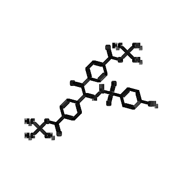 Cc1ccc(S(=O)(=O)NN=C(C(=O)c2ccc(C(=O)OC(C)(C)C)cc2)c2ccc(C(=O)OC(C)(C)C)cc2)cc1